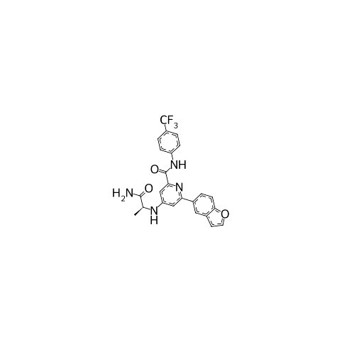 C[C@H](Nc1cc(C(=O)Nc2ccc(C(F)(F)F)cc2)nc(-c2ccc3occc3c2)c1)C(N)=O